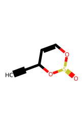 C#CC1C=COS(=O)O1